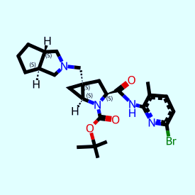 Cc1ccc(Br)nc1NC(=O)[C@@H]1C[C@]2(CN3C[C@H]4CCC[C@@H]4C3)C[C@@H]2N1C(=O)OC(C)(C)C